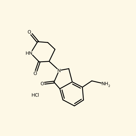 Cl.NCc1cccc2c1CN(C1CCC(=O)NC1=O)C2=O